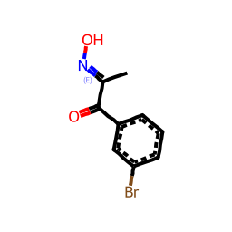 C/C(=N\O)C(=O)c1cccc(Br)c1